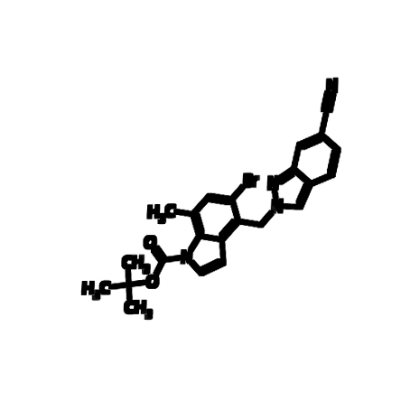 Cc1cc(Br)c(Cn2cc3ccc(C#N)cc3n2)c2ccn(C(=O)OC(C)(C)C)c12